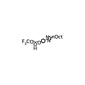 CCCCCCCCc1cnc(-c2ccc(OCC(O)COCC(F)(F)F)cc2)nc1